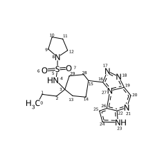 CCCC1(NS(=O)(=O)N2CCCC2)CCC(c2nnc3cnc4[nH]ccc4n23)CC1